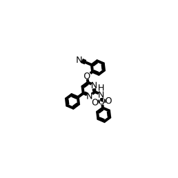 N#Cc1ccccc1Oc1cc(-c2ccccc2)nc(NS(=O)(=O)c2ccccc2)n1